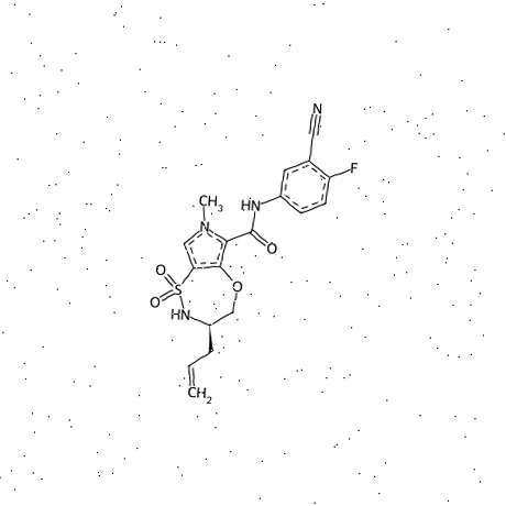 C=CC[C@@H]1COc2c(cn(C)c2C(=O)Nc2ccc(F)c(C#N)c2)S(=O)(=O)N1